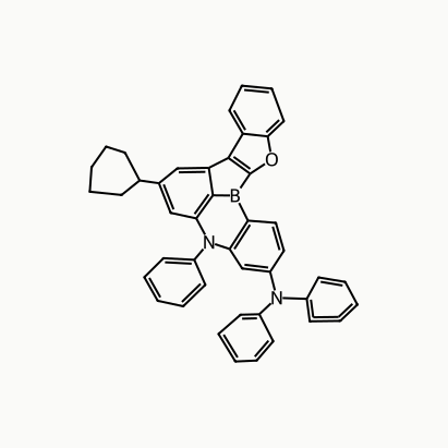 C1=C=C(N(c2ccccc2)c2ccc3c(c2)N(c2ccccc2)c2cc(C4CCCCC4)cc4c2B3c2oc3ccccc3c2-4)C=CC=1